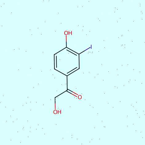 O=C(CO)c1ccc(O)c(I)c1